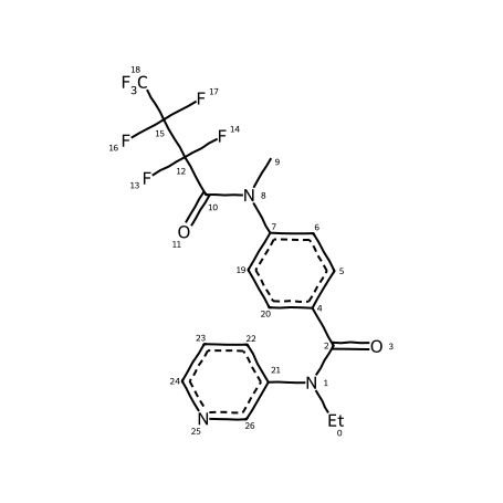 CCN(C(=O)c1ccc(N(C)C(=O)C(F)(F)C(F)(F)C(F)(F)F)cc1)c1cccnc1